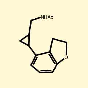 CC(=O)NCC1CC1c1cccc2c1CCO2